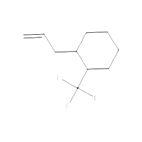 C=CC[C]1CCCCC1C(F)(F)F